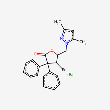 CCC1C(Cn2nc(C)cc2C)OC(=O)C1(c1ccccc1)c1ccccc1.Cl